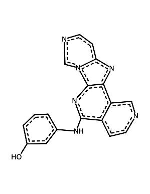 Oc1cccc(Nc2nc3c(nc4ccncn43)c3cnccc23)c1